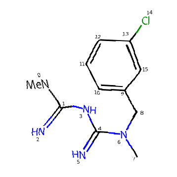 CNC(=N)NC(=N)N(C)Cc1cccc(Cl)c1